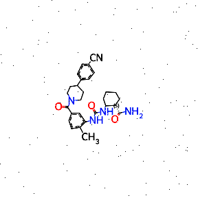 Cc1ccc(C(=O)N2CCC(c3ccc(C#N)cc3)CC2)cc1NC(=O)NC1CCCC[C@@H]1C(N)=O